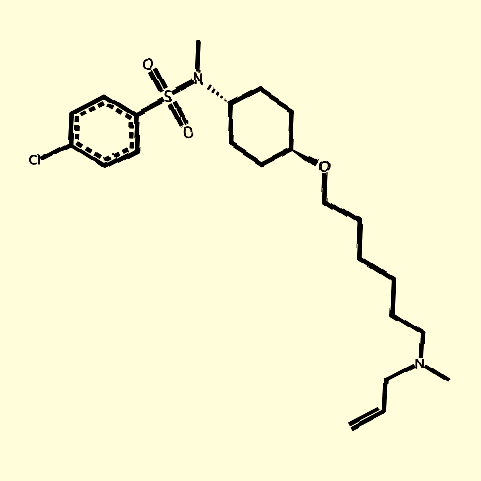 C=CCN(C)CCCCCCO[C@H]1CC[C@H](N(C)S(=O)(=O)c2ccc(Cl)cc2)CC1